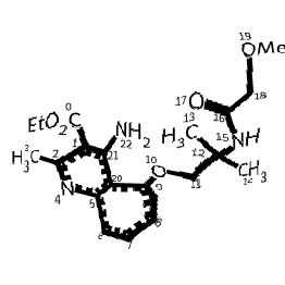 CCOC(=O)c1c(C)nc2cccc(OCC(C)(C)NC(=O)COC)c2c1N